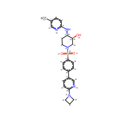 Cc1ccc(N[C@@H]2CCN(S(=O)(=O)c3ccc(-c4ccc(N5CCC5)nc4)cc3)C[C@@H]2O)nc1